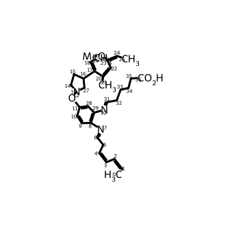 C/C=C\C=C/C/C=N/c1ccc(ON2CCC(C(=C/C)/C(C)=C\C(=C/C)OC)C2)cc1/N=C/CCCCC(=O)O